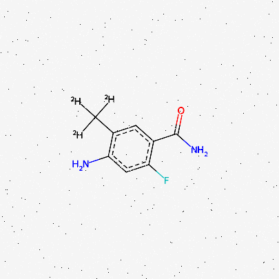 [2H]C([2H])([2H])c1cc(C(N)=O)c(F)cc1N